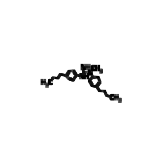 CCCCc1ccc(NC(=N)N(C)c2ccc(CCCC)cc2)cc1